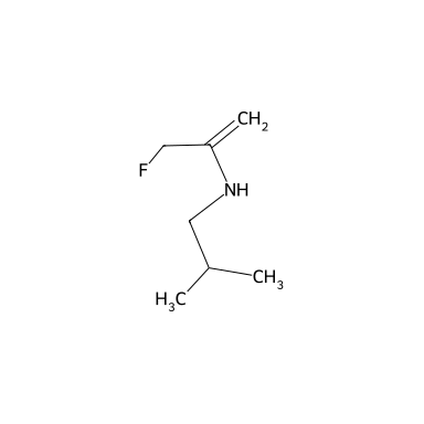 C=C(CF)NCC(C)C